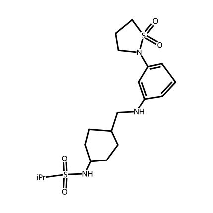 CC(C)S(=O)(=O)NC1CCC(CNc2cccc(N3CCCS3(=O)=O)c2)CC1